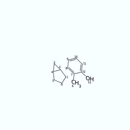 C1CC2CC2C1.Cc1ccccc1O